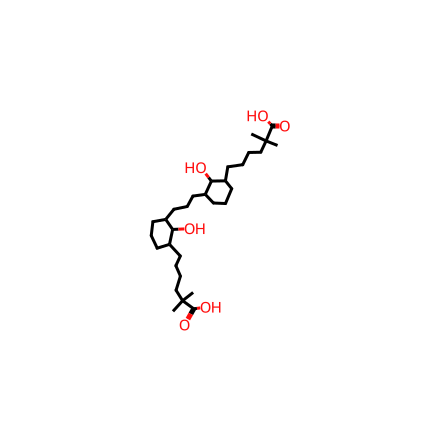 CC(C)(CCCCC1CCCC(CCCC2CCCC(CCCCC(C)(C)C(=O)O)C2O)C1O)C(=O)O